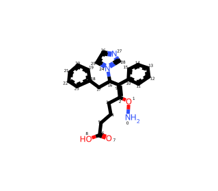 NOC(CCCC(=O)O)=C(c1ccccc1)C(Cc1ccccc1)n1ccnc1